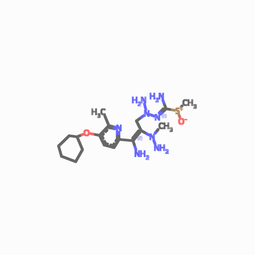 Cc1nc(/C(N)=C(\CN(N)/N=C(\N)[S+](C)[O-])N(C)N)ccc1OC1CCCCC1